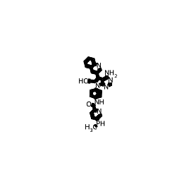 C#Cc1c(-c2cnc3ccccc3c2)c2c(N)ncnc2n1C12CCC(NC(=O)c3ccc(PC)cn3)(CC1)C2